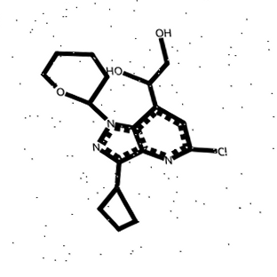 OCC(O)c1cc(Cl)nc2c(C3CCC3)nn(C3CCCCO3)c12